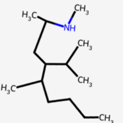 CCCCC(C)C(CC(C)NC)C(C)C